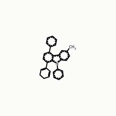 Cc1ccc2c(c1)c1c(-c3ccccc3)ccc(C3=CCCC=C3)c1n2-c1ccccc1